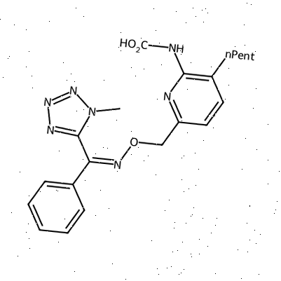 CCCCCc1ccc(CON=C(c2ccccc2)c2nnnn2C)nc1NC(=O)O